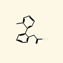 NC(=O)Cc1ccccc1-c1ccccc1Cl